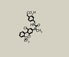 CN(C(=O)NCc1ccc(CC(=O)O)cc1)c1cc(Cl)c(-c2ccccc2OC(F)(F)F)c(Cl)c1